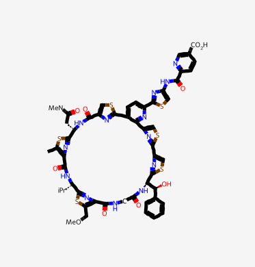 CNC(=O)C[C@@H]1NC(=O)c2csc(n2)-c2ccc(-c3nc(NC(=O)c4ccc(C(=O)O)cn4)cs3)nc2-c2csc(n2)-c2csc(n2)[C@H]([C@@H](O)c2ccccc2)NC(=O)CNC(=O)c2nc(sc2COC)[C@H](C(C)C)NC(=O)c2nc1sc2C